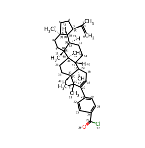 C=C(C)[C@@H]1CC[C@]2(C)CC[C@]3(C)[C@H](CC[C@@H]4[C@@]5(C)CC=C(c6ccc(C(=O)Cl)cc6)C(C)(C)[C@@H]5CC[C@]43C)[C@@H]12